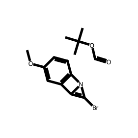 CC(C)(C)OC=O.COc1ccc2c(c1)c1c(Br)n2-1